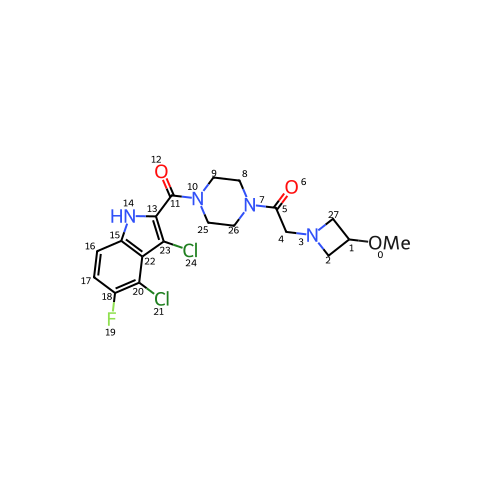 COC1CN(CC(=O)N2CCN(C(=O)c3[nH]c4ccc(F)c(Cl)c4c3Cl)CC2)C1